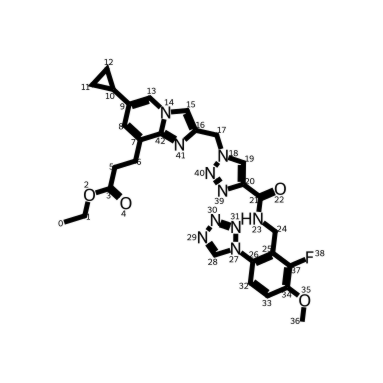 CCOC(=O)CCc1cc(C2CC2)cn2cc(Cn3cc(C(=O)NCc4c(-n5cnnn5)ccc(OC)c4F)nn3)nc12